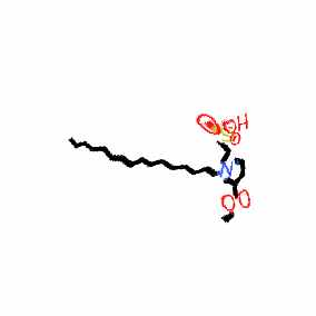 CCCCCCCCCCCCCCCC[N+]1(CCCS(=O)(=O)O)CCCC(C(=O)OCC)C1